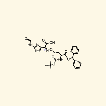 CC(C)(C)OC(=O)NC(CCO/N=C(\C(=O)O)c1csc(NC=O)n1)C(=O)OC(c1ccccc1)c1ccccc1